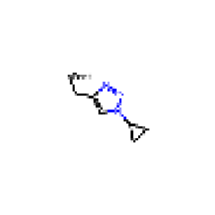 CCCCCCc1cn(C2CC2)nn1